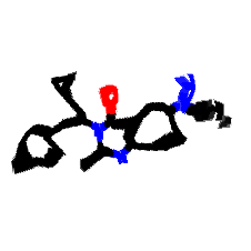 BNc1ccc2nc(C)n(C(c3ccccc3)C3CC3)c(=O)c2c1